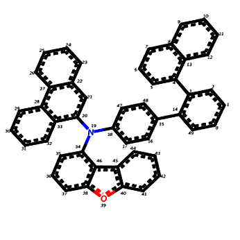 c1ccc(-c2cccc3ccccc23)c(-c2ccc(N(c3cc4ccccc4c4ccccc34)c3cccc4oc5ccccc5c34)cc2)c1